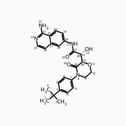 CC(C)(C)c1ccc(N2CCO[C@H]([C@@H](O)C(=O)Nc3ccc4c(N)nccc4c3)C2=O)cc1